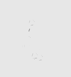 COc1ccc2nccc([C@@H](F)CC[C@@H]3CCN(CC#Cc4cccc(F)c4F)C[C@@H]3CO)c2c1